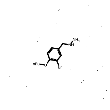 CCCCOc1ccc(CNN)cc1Br